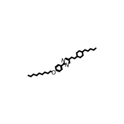 CCCCCCCCCOc1ccc(-c2ncc(CCC3CCC(CCCCC)CC3)cn2)cc1